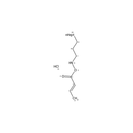 CC=CC(=O)ONCCCCCCCCCC.Cl